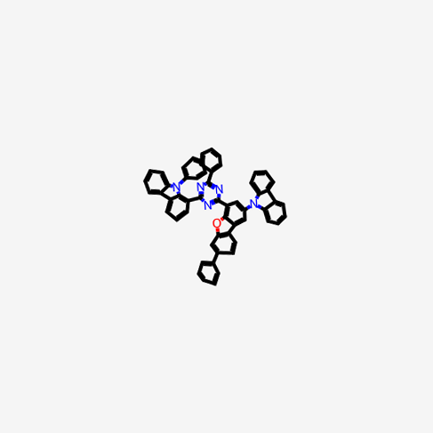 c1ccc(-c2ccc3c(c2)oc2c(-c4nc(-c5ccccc5)nc(-c5cccc6c7ccccc7n(-c7ccccc7)c56)n4)cc(-n4c5ccccc5c5ccccc54)cc23)cc1